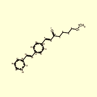 COCCCCC(=O)/C=C/c1ccc(/C=C/c2cccnc2)cc1